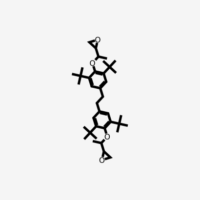 CC(Oc1c(C(C)(C)C)cc(CCc2cc(C(C)(C)C)c(OC(C)C3CO3)c(C(C)(C)C)c2)cc1C(C)(C)C)C1CO1